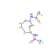 O=C(NC1/C=C/C(NC(=O)C(F)(F)F)CCCC1)C(F)(F)F